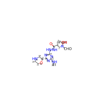 CCCCCC(CN(O)C=O)C(=O)NNc1nc(NCC)nc([C@H]2CNCCO2)n1